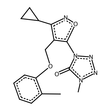 Cc1ccccc1OCc1c(C2CC2)noc1-n1nnn(C)c1=O